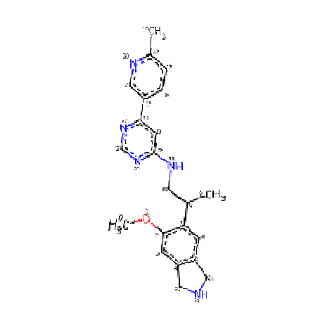 COc1cc2c(cc1C(C)CNc1cc(-c3ccc(C)nc3)ncn1)CNC2